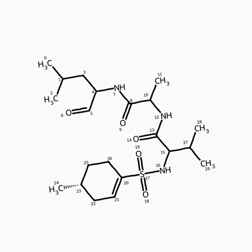 CC(C)CC(C=O)NC(=O)C(C)NC(=O)C(NS(=O)(=O)C1=CC[C@H](C)CC1)C(C)C